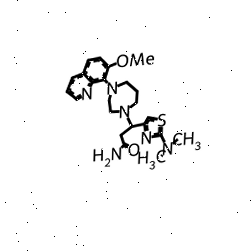 COc1ccc2cccnc2c1N1CCCN(C(CC(N)=O)c2csc(N(C)C)n2)CC1